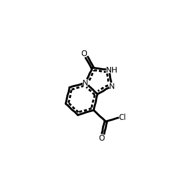 O=C(Cl)c1cccn2c(=O)[nH]nc12